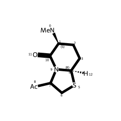 CN[C@H]1CC[C@H]2SCC(C(C)=O)N2C1=O